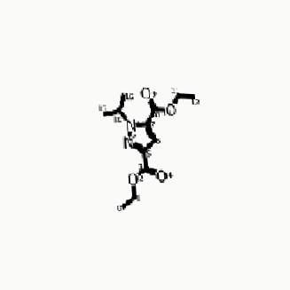 CCOC(=O)c1cc(C(=O)OCC)n(C(C)C)n1